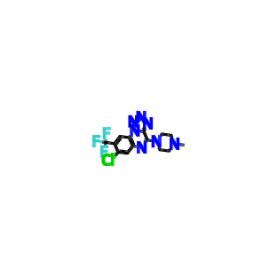 CN1CCN(c2nc3cc(Cl)c(C(F)(F)F)cc3n3nnnc23)CC1